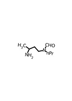 CCCN(C=O)CCC(C)N